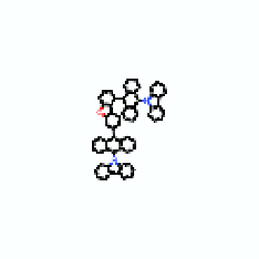 c1cc(-c2c3ccccc3c(-n3c4ccccc4c4ccccc43)c3ccccc23)c2c(c1)oc1cc(-c3c4ccccc4c(-n4c5ccccc5c5ccccc54)c4ccccc34)ccc12